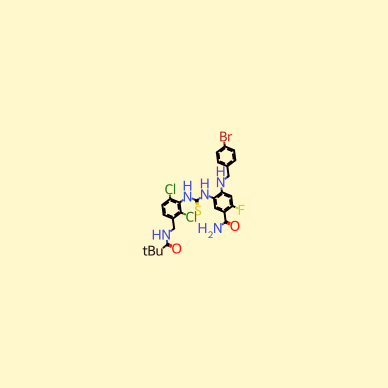 CC(C)(C)C(=O)NCc1ccc(Cl)c(NC(=S)Nc2cc(C(N)=O)c(F)cc2NCc2ccc(Br)cc2)c1Cl